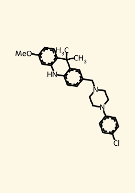 COc1ccc2c(c1)Nc1ccc(CN3CCN(c4ccc(Cl)cc4)CC3)cc1C2(C)C